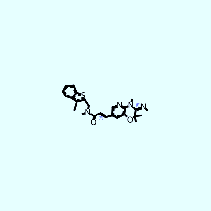 C/N=C1/N(C)c2ncc(/C=C/C(=O)N(C)Cc3sc4ccccc4c3C)cc2OC1(C)C